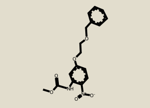 COC(=O)Nc1cc(OCCOCc2ccccc2)ccc1[N+](=O)[O-]